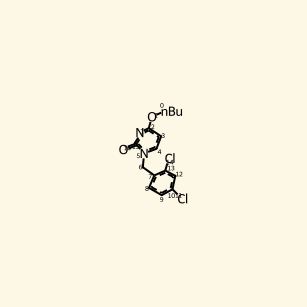 CCCCOc1ccn(Cc2ccc(Cl)cc2Cl)c(=O)n1